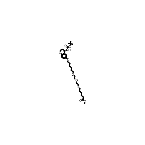 COC(=O)CCCCCOCCOCCOCCCCCCOc1ccc2c(c1)[C@@H](NC(=O)OC(C)(C)C)CCO2